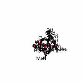 CNCCCOc1ccc(SNC(=O)C[C@@H]2NC(=O)[C@H](NC(=O)[C@H](CC(C)C)NC)[C@H](O)c3ccc(c(Cl)c3)Oc3cc4cc(c3O[C@@H]3O[C@H](CO)[C@H](O)[C@H](O)[C@@H]3O[C@H]3C[C@](C)(N)[C@H](O)[C@H](C)O3)Oc3ccc(cc3Cl)[C@H](O)[C@H]3NC(=O)[C@@H](NC(=O)[C@@H]4NC2=O)c2ccc(O)c(c2)-c2c(O)cc(O)cc2[C@@H](C(=O)NC2C4CC5CC(C4)CC2C5)NC3=O)cc1